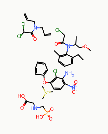 C=CCN(CC=C)C(=O)C(Cl)Cl.CCc1cccc(C)c1N(C(=O)CCl)C(C)COC.C[S+](C)C.Nc1c([N+](=O)[O-])ccc(Oc2ccccc2)c1Cl.O=C(O)CNCP(=O)([O-])O